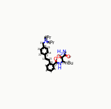 CCCCC(NC(=O)c1ccccc1C=Cc1ccc(CN(CCC)C(C)C)cc1)C(=O)C(N)=O